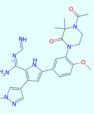 COc1ccc(-c2cc(-c3cnn(C)c3)c(/C(N)=N\C=N)[nH]2)cc1N1CCN(C(C)=O)C(C)(C)C1=O